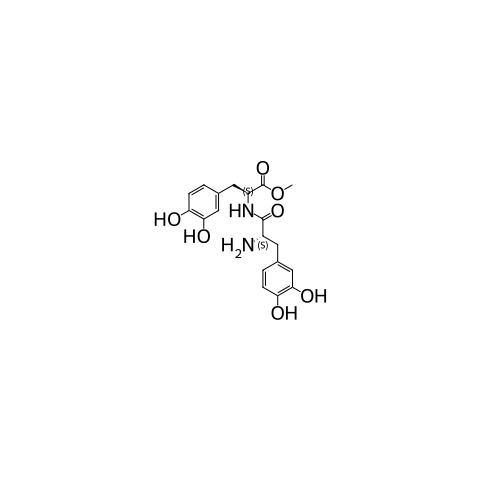 COC(=O)[C@H](Cc1ccc(O)c(O)c1)NC(=O)[C@@H](N)Cc1ccc(O)c(O)c1